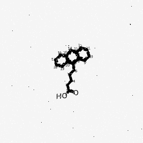 O=C(O)CCCCc1c2ccccc2cc2ccccc12